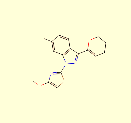 O=COc1csc(-n2nc(C3=CCCCO3)c3ccc(C(F)(F)F)cc32)n1